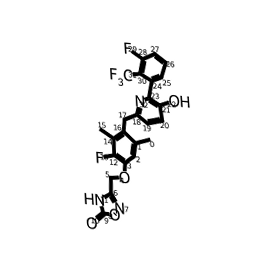 Cc1cc(OCc2noc(=O)[nH]2)c(F)c(C)c1Cc1ccc(O)c(-c2cccc(F)c2C(F)(F)F)n1